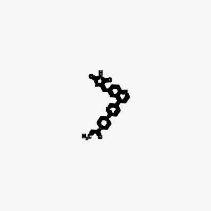 C=CC(=O)N1CCN(c2ccc(-c3ccnc4ccc(C=C5SC(=O)NC5=O)cc34)cn2)CC1